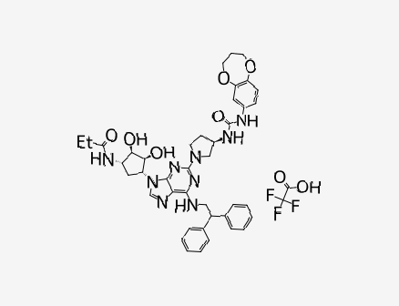 CCC(=O)N[C@H]1C[C@@H](n2cnc3c(NCC(c4ccccc4)c4ccccc4)nc(N4CC[C@@H](NC(=O)Nc5ccc6c(c5)OCCCO6)C4)nc32)[C@H](O)[C@@H]1O.O=C(O)C(F)(F)F